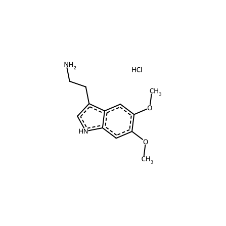 COc1cc2[nH]cc(CCN)c2cc1OC.Cl